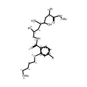 CCCCNC(=O)C(CC(O)C(N)CC(CNC(=O)c1ccc(C)cc1OCCCCOC)C(C)C)C(C)C